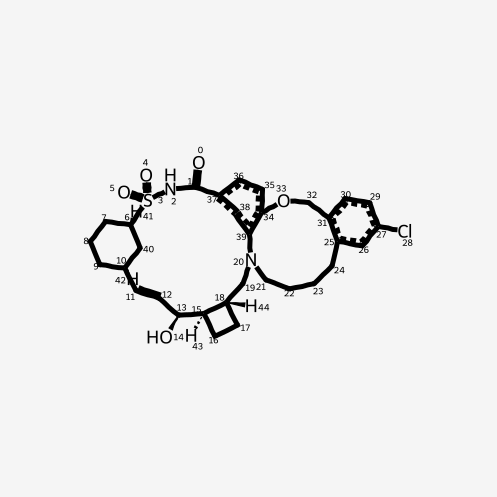 O=C1NS(=O)(=O)[C@H]2CCC[C@H](/C=C/[C@H](O)[C@@H]3CC[C@H]3CN3CCCCc4cc(Cl)ccc4COc4ccc1cc43)C2